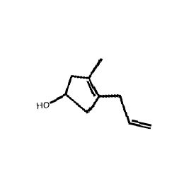 C=CCC1=C(C)CC(O)C1